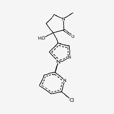 CN1CCC(O)(c2cnn(-c3cccc(Cl)n3)c2)C1=O